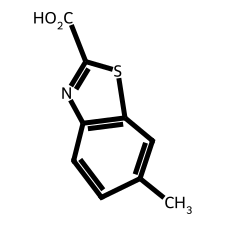 Cc1ccc2nc(C(=O)O)sc2c1